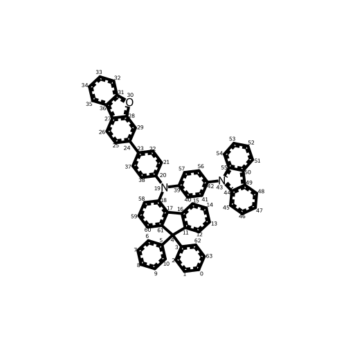 c1ccc(C2(c3ccccc3)c3ccccc3-c3c(N(c4ccc(-c5ccc6c(c5)oc5ccccc56)cc4)c4ccc(-n5c6ccccc6c6ccccc65)cc4)cccc32)cc1